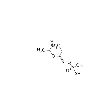 CC/C(=N\OP(=O)(O)S)OC(C)C